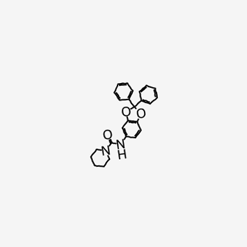 O=C(Nc1ccc2c(c1)OC(c1ccccc1)(c1ccccc1)O2)N1CCCCC1